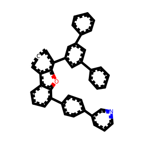 c1ccc(-c2cc(-c3ccccc3)cc(-c3cccc4c3oc3c(-c5ccc(-c6cccnc6)cc5)cccc34)c2)cc1